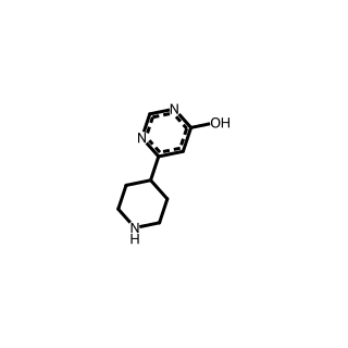 Oc1cc(C2CCNCC2)ncn1